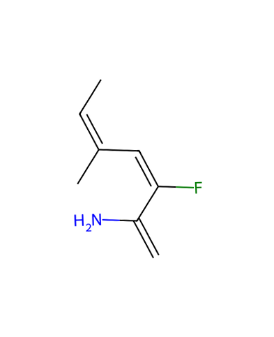 C=C(N)/C(F)=C\C(C)=C/C